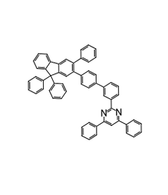 c1ccc(-c2cc(-c3ccccc3)nc(-c3cccc(-c4ccc(-c5cc6c(cc5-c5ccccc5)-c5ccccc5C6(c5ccccc5)c5ccccc5)cc4)c3)n2)cc1